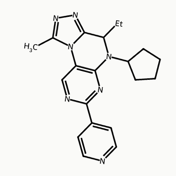 CCC1c2nnc(C)n2-c2cnc(-c3ccncc3)nc2N1C1CCCC1